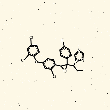 CCC(n1cncn1)C1(c2ccc(F)cc2)OC1c1ccc(Oc2ccc(Cl)cc2Cl)cc1Cl